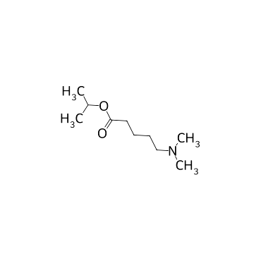 CC(C)OC(=O)CCCCN(C)C